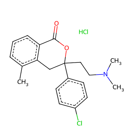 Cc1cccc2c1CC(CCN(C)C)(c1ccc(Cl)cc1)OC2=O.Cl